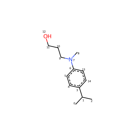 CC(C)c1ccc(N(C)CCCO)cc1